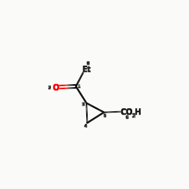 CCC(=O)C1CC1C(=O)O